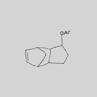 CC(=O)OC1CCC2C3C=CC(C3)C12